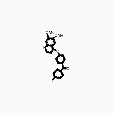 COc1cc2nccc(Oc3ccc(C(=O)c4ccc(I)cc4)cc3)c2cc1OC